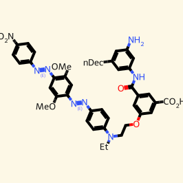 CCCCCCCCCCc1cc(N)cc(NC(=O)c2cc(OCCN(CC)c3ccc(/N=N/c4cc(OC)c(/N=N/c5ccc([N+](=O)[O-])cc5)cc4OC)cc3)cc(C(=O)O)c2)c1